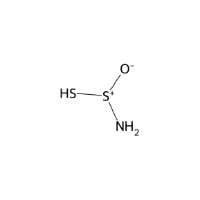 N[S+]([O-])S